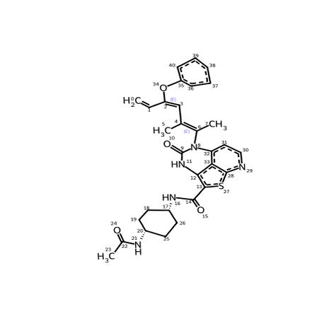 C=C/C(=C\C(C)=C(/C)N1C(=O)Nc2c(C(=O)N[C@H]3CC[C@@H](NC(C)=O)CC3)sc3nccc1c23)Oc1ccccc1